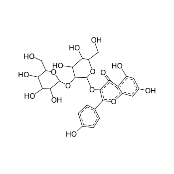 O=c1c(OC2OC(CO)C(O)C(O)C2OC2OC(CO)C(O)C(O)C2O)c(-c2ccc(O)cc2)oc2cc(O)cc(O)c12